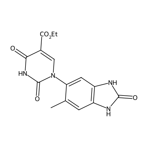 CCOC(=O)c1cn(-c2cc3[nH]c(=O)[nH]c3cc2C)c(=O)[nH]c1=O